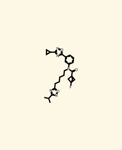 CC(C)c1noc(CCCCCN(C(=O)C23CC(F)(C2)C3)c2cccc(-c3nc(C4CC4)no3)c2)n1